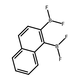 FB(F)c1ccc2ccccc2c1B(F)F